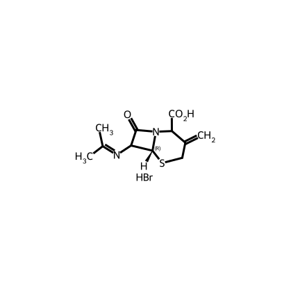 Br.C=C1CS[C@@H]2C(N=C(C)C)C(=O)N2C1C(=O)O